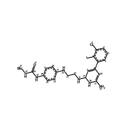 Cc1c(Cl)cccc1C1=CC(NCCNc2ccc(NC(=O)NC(C)(C)C)cn2)NC(N)=N1